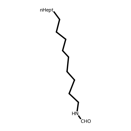 CCCCCCCCCCCCCCCCNC=O